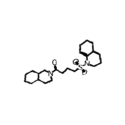 O=C(CCCS(=O)(=O)N1CCCC2CCCC=C21)N1CCC2CCCCC2C1